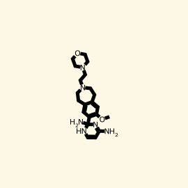 COc1cc2c(cc1C1(N)N=C(N)C=CN1)CCN(CCN1CCOCC1)CC2